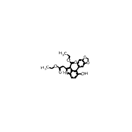 CCOC(=O)Cc1[nH]c2ccc(O)c(-c3ccc4c(c3)OCO4)c2c1C(=O)OCC